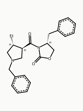 CC[C@H]1CN(Cc2ccccc2)C[C@@H]1C(=O)N1C(=O)OC[C@H]1Cc1ccccc1